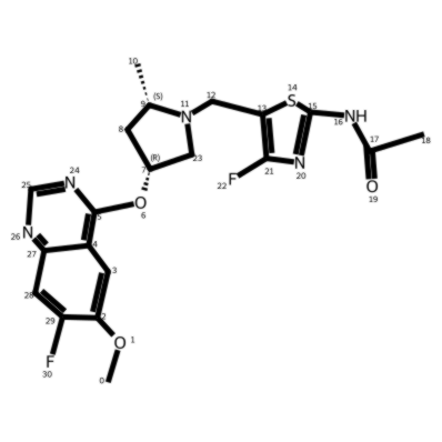 COc1cc2c(O[C@@H]3C[C@H](C)N(Cc4sc(NC(C)=O)nc4F)C3)ncnc2cc1F